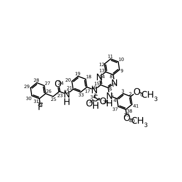 COc1cc(Nc2nc3ccccc3nc2N(c2cccc(NC(=O)Cc3ccccc3F)c2)[SH](=O)=O)cc(OC)c1